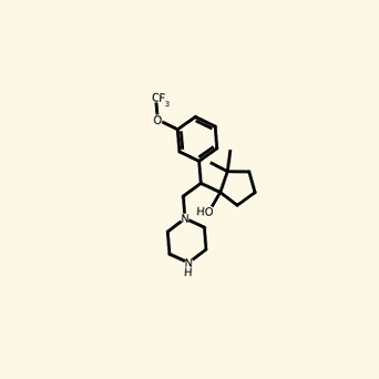 CC1(C)CCCC1(O)C(CN1CCNCC1)c1cccc(OC(F)(F)F)c1